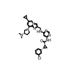 CN(C)[C@H]1CCN(c2cc(C3CC3)cn3cc(CNc4cc(NC(=O)[C@H]5C[C@@H]5c5cccc(Cl)c5)ncn4)nc23)C1